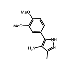 COc1ccc(-c2[nH]nc(C)c2N)cc1OC